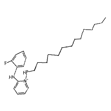 CCCCCCCCCCCCCCP[n+]1ccccc1Nc1ccccc1F